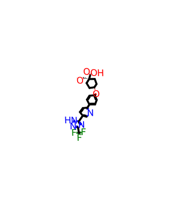 COC[C@]1(C(=O)O)CC[C@H](Oc2ccc(-c3ccc(-c4nc(C(F)(F)F)n[nH]4)cn3)cc2)CC1